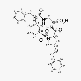 O=C(NCc1ccccc1)NCC(NC(=O)C1CC(OCc2ccccc2)CN1S(=O)(=O)c1ccccc1)C(=O)O